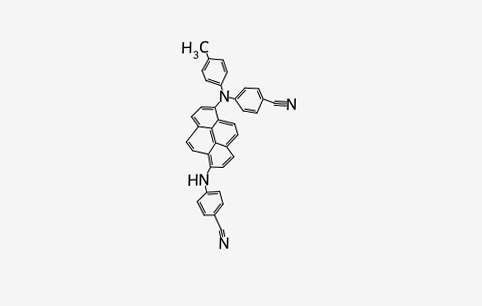 Cc1ccc(N(c2ccc(C#N)cc2)c2ccc3ccc4c(Nc5ccc(C#N)cc5)ccc5ccc2c3c54)cc1